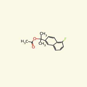 CC(=O)OC(C)(C)c1ccc2c(F)cccc2c1